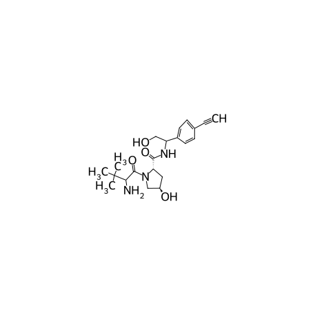 C#Cc1ccc(C(CO)NC(=O)[C@@H]2C[C@@H](O)CN2C(=O)C(N)C(C)(C)C)cc1